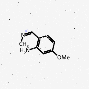 C/N=C\c1ccc(OC)cc1N